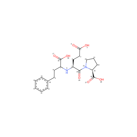 O=C(O)CC[C@H](NC(CCc1ccccc1)C(=O)O)C(=O)N1CCC[C@H]1C(=O)O